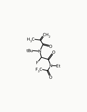 C=C(C)C(=O)N(C(F)C(=O)N(CC)C(=O)C(F)(F)F)C(C)(C)C